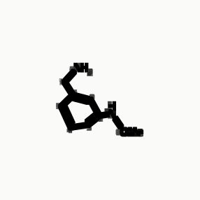 CONc1cccc(CN)c1